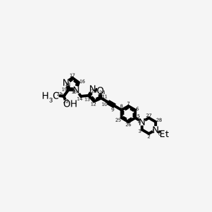 CCN1CCN(c2ccc(C#Cc3cc(Cn4ccnc4C(C)O)no3)cc2)CC1